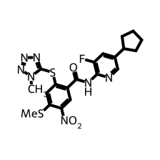 CSc1cc(Sc2nnnn2C)c(C(=O)Nc2ncc(C3CCCC3)cc2F)cc1[N+](=O)[O-]